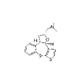 CN(C)C[C@H]1C[C@@H]2c3ccccc3Sc3sccc3[C@H]2O1